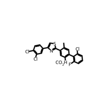 Cc1cc(-c2c(F)cccc2Cl)c(C(=O)O)cc1-c1nc(-c2ccc(Cl)c(Cl)c2)cs1